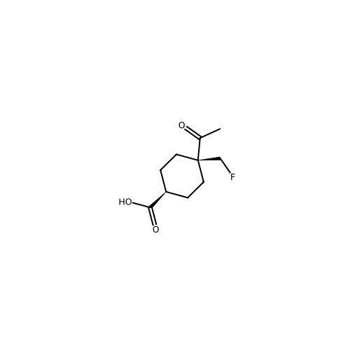 CC(=O)[C@]1(CF)CC[C@@H](C(=O)O)CC1